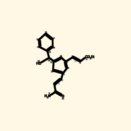 CCOC(=O)/C=C/c1cc(/C=C/C(N)=O)cc(C(O)c2ccccc2)c1